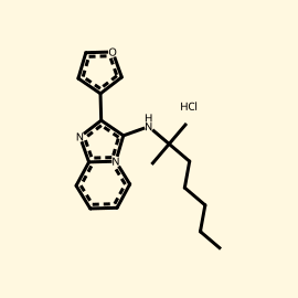 CCCCCC(C)(C)Nc1c(-c2ccoc2)nc2ccccn12.Cl